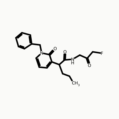 CCCC(C(=O)NCC(=O)CF)c1cccn(Cc2ccccc2)c1=O